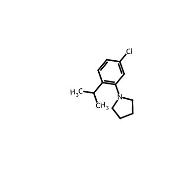 CC(C)c1ccc(Cl)cc1N1CCCC1